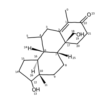 CC1=C2CC(C)[C@@H]3[C@@H](CC[C@]4(C)C(O)CC[C@@H]34)[C@@]2(CO)CCC1=O